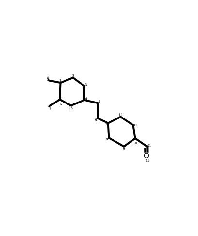 CC1CCC(CCC2CCC(C=O)CC2)CC1C